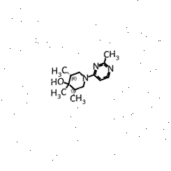 Cc1nccc(N2C[C@@H](C)C(C)(O)[C@@H](C)C2)n1